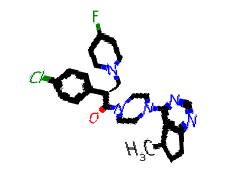 C[C@@H]1CCc2ncnc(N3CCN(C(=O)[C@H](CN4CCC(F)CC4)c4ccc(Cl)cc4)CC3)c21